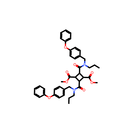 CCCN(Cc1ccc(Oc2ccccc2)cc1)C(=O)C1C(C(=O)OC)C(C(=O)N(CCC)Cc2ccc(Oc3ccccc3)cc2)C1C(=O)OC